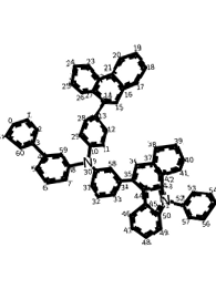 c1ccc(-c2cccc(N(c3ccc(-c4cc5ccccc5c5ccccc45)cc3)c3cccc(-c4cc5ccccc5c5c4c4ccccc4n5-c4ccccc4)c3)c2)cc1